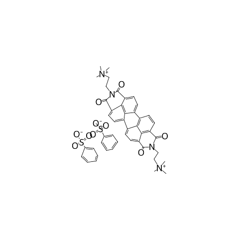 C[N+](C)(C)CCN1C(=O)c2ccc3c4ccc5c6c(ccc(c7ccc(c2c37)C1=O)c64)C(=O)N(CC[N+](C)(C)C)C5=O.O=S(=O)([O-])c1ccccc1.O=S(=O)([O-])c1ccccc1